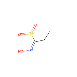 CCC(=NO)[SH](=O)=O